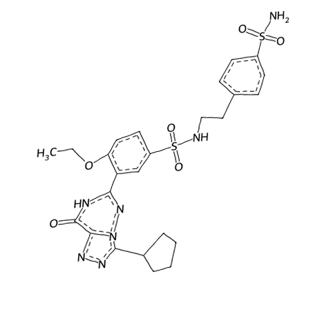 CCOc1ccc(S(=O)(=O)NCCc2ccc(S(N)(=O)=O)cc2)cc1-c1nn2c(C3CCCC3)nnc2c(=O)[nH]1